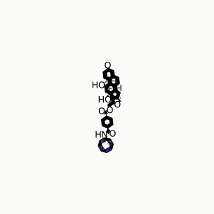 C[C@@H]1C[C@H]2[C@@H]3CCC4=CC(=O)C=C[C@]4(C)[C@@]3(F)[C@@H](O)C[C@]2(C)[C@@]1(O)C(=O)COC(=O)[C@H]1CC[C@H](C(=O)NC2=C/C=C\C=C/C=C\2)CC1